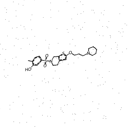 Cc1ccc(S(=O)(=O)N2CCc3cc(OCCCN4CCCCC4)sc3C2)cc1O